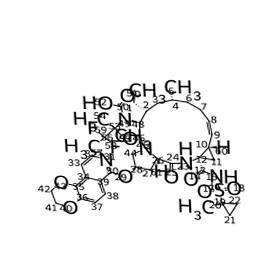 CC[C@@H]1C[C@H](C)CCC=C[C@@H]2C[C@@]2(C(=O)NS(=O)(=O)C2(C)CC2)NC(=O)[C@@H]2C[C@@H](Oc3nccc4c5c(ccc34)OCCO5)CN2C(=O)[C@H]1N(C(=O)O)C(C)(C)C(C)(F)F